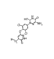 CC(C)[C@H](C)c1cc(Oc2c(Cl)cc(N3N=C(N)C(=O)NC3O)cc2Cl)n[nH]c1=O